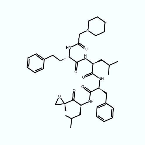 CC(C)C[C@H](NC(=O)[C@H](CCc1ccccc1)NC(=O)CN1CC[CH]CC1)C(=O)N[C@@H](Cc1ccccc1)C(=O)N[C@@H](CC(C)C)C(=O)[C@]1(C)CO1